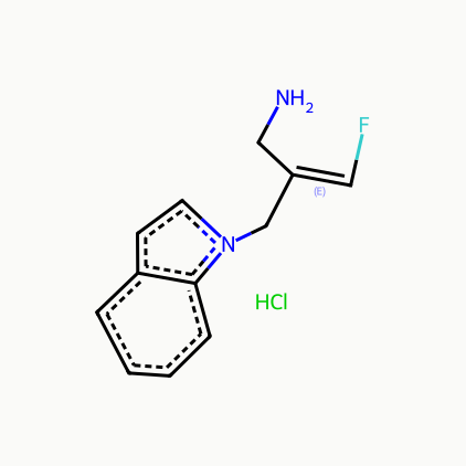 Cl.NC/C(=C\F)Cn1ccc2ccccc21